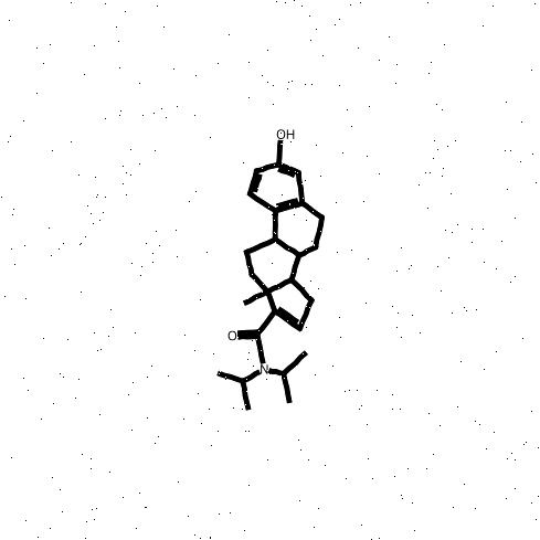 CC(C)N(C(=O)C1=CCC2C3CCc4cc(O)ccc4C3CCC12C)C(C)C